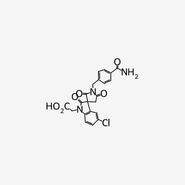 NC(=O)c1ccc(CN2C(=O)CC3(C2=O)C(=O)N(CC(=O)O)c2ccc(Cl)cc23)cc1